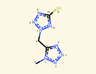 Cn1nnnc1Cn1nnc(S)n1